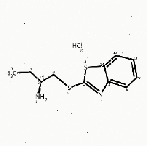 CC[C@H](N)CSc1nc2ccccc2s1.Cl